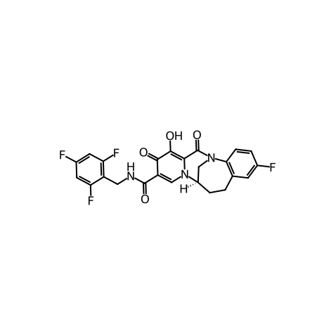 O=C(NCc1c(F)cc(F)cc1F)c1cn2c(c(O)c1=O)C(=O)N1C[C@H]2CCc2cc(F)ccc21